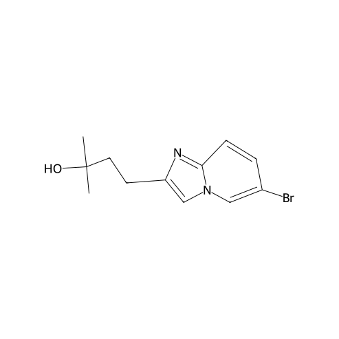 CC(C)(O)CCc1cn2cc(Br)ccc2n1